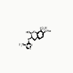 CSc1ccc2c(c1C(=O)O)OB(O)C(Sc1nncn1N)C2